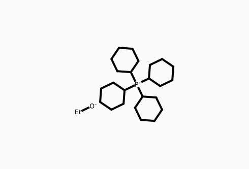 C1CCC([P+](C2CCCCC2)(C2CCCCC2)C2CCCCC2)CC1.CC[O-]